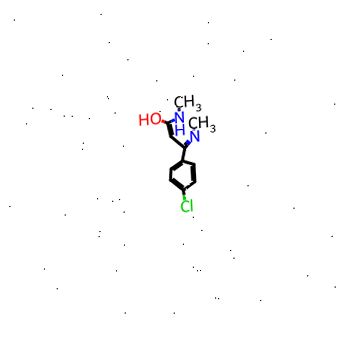 C/N=C(\C=C(\O)NC)c1ccc(Cl)cc1